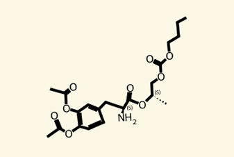 CCCCOC(=O)OC[C@H](C)OC(=O)[C@@H](N)Cc1ccc(OC(C)=O)c(OC(C)=O)c1